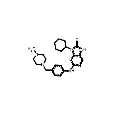 CN1CCN(Cc2ccc(Nc3ncc4[nH]c(=O)n(C5CCCCC5)c4n3)cc2)CC1